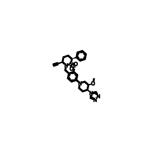 C#C[C@H]1CC[C@H](c2ccccc2)S(=O)(=O)N1Cc1ccc(N2CC[C@@H](n3cnnc3)[C@@H](OC)C2)cc1F